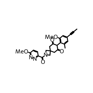 CC#Cc1cc(C)c(C2C(=O)CC3(CC2=O)CN(C(=O)c2ccc(OC)nn2)C3)c(OC)c1